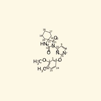 COc1cc(Oc2nccc(N3C(=O)NC4(CCCCC4)C3=O)n2)ccc1C